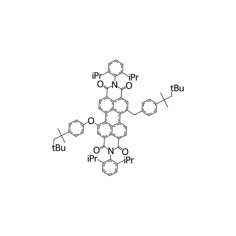 CC(C)c1cccc(C(C)C)c1N1C(=O)c2ccc3c4c(Oc5ccc(C(C)(C)CC(C)(C)C)cc5)cc5c6c(ccc(c7c(Cc8ccc(C(C)(C)CC(C)(C)C)cc8)cc(c2c37)C1=O)c64)C(=O)N(c1c(C(C)C)cccc1C(C)C)C5=O